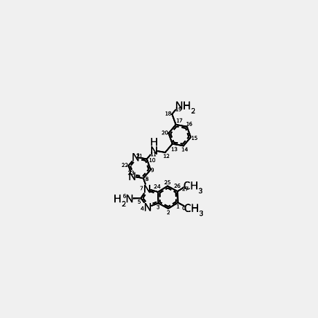 Cc1cc2nc(N)n(-c3cc(NCc4cccc(CN)c4)ncn3)c2cc1C